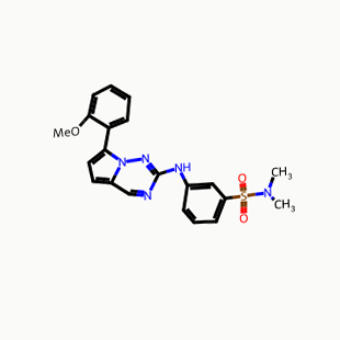 COc1ccccc1-c1ccc2cnc(Nc3cccc(S(=O)(=O)N(C)C)c3)nn12